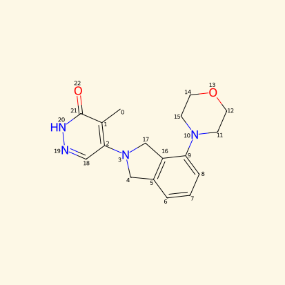 Cc1c(N2Cc3cccc(N4CCOCC4)c3C2)cn[nH]c1=O